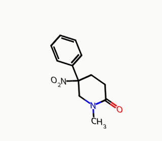 CN1CC(c2ccccc2)([N+](=O)[O-])CCC1=O